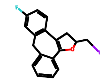 Fc1ccc2c(c1)Cc1ccccc1C1=C2CC(CI)O1